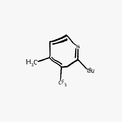 Cc1ccnc(C(C)(C)C)c1C(F)(F)F